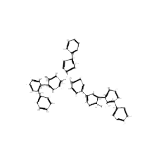 c1ccc(-c2ccc(N(c3ccc(-c4ccc5oc6c(-c7ccccc7)cccc6c5c4)cc3)c3ccc4c(c3)sc3cccc(-c5ccccc5)c34)cc2)cc1